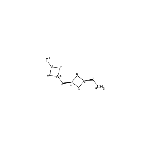 CC[C@H]1C[C@@H](CN2CC(F)C2)C1